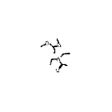 CCN(CC)C(C)=O.COC(C)OC